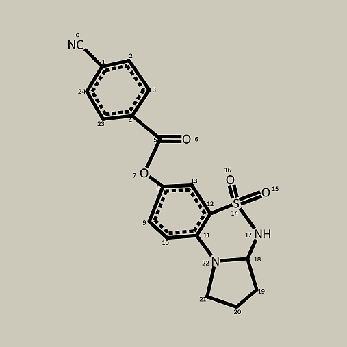 N#Cc1ccc(C(=O)Oc2ccc3c(c2)S(=O)(=O)NC2CCCN32)cc1